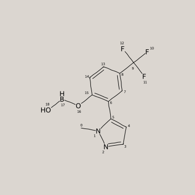 Cn1nccc1-c1cc(C(F)(F)F)ccc1OBO